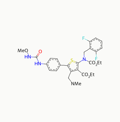 CCOC(=O)c1c(N(Cc2c(F)cccc2F)C(=O)OCC)sc(-c2ccc(NC(=O)NOC)cc2)c1CNC